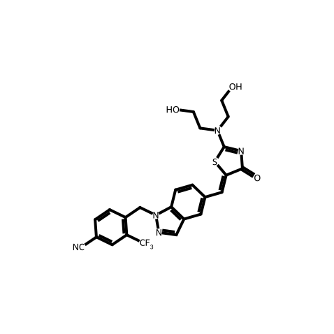 N#Cc1ccc(Cn2ncc3cc(/C=C4\SC(N(CCO)CCO)=NC4=O)ccc32)c(C(F)(F)F)c1